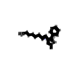 CCCCCC/C=C/c1c[nH]nc1-c1cccnc1